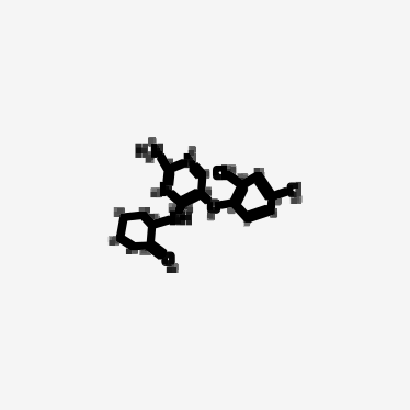 Nc1ncc(Oc2ccc(Cl)cc2Cl)c(NC2CCCCC2=O)n1